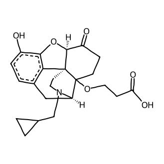 O=C(O)CCOC12CCC(=O)[C@@H]3Oc4c(O)ccc5c4[C@@]31CCN(CC1CC1)[C@@H]2C5